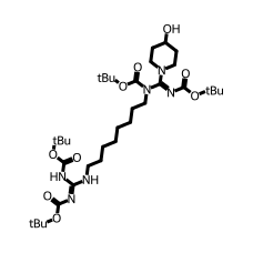 CC(C)(C)OC(=O)/N=C(/NCCCCCCCCN(C(=O)OC(C)(C)C)/C(=N/C(=O)OC(C)(C)C)N1CCC(O)CC1)NC(=O)OC(C)(C)C